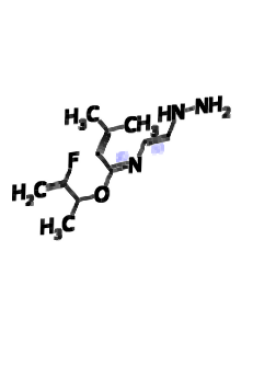 C=C(F)C(C)O/C(C=C(C)C)=N/C=C/NN